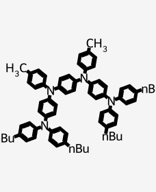 CCCCc1ccc(N(c2ccc(CCCC)cc2)c2ccc(N(c3ccc(C)cc3)c3ccc(N(c4ccc(C)cc4)c4ccc(N(c5ccc(CCCC)cc5)c5ccc(CCCC)cc5)cc4)cc3)cc2)cc1